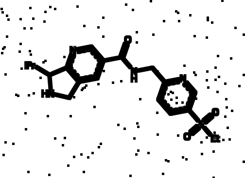 CCS(=O)(=O)c1ccc(CNC(=O)c2cnc3c(c2)CNC3C(C)C)nc1